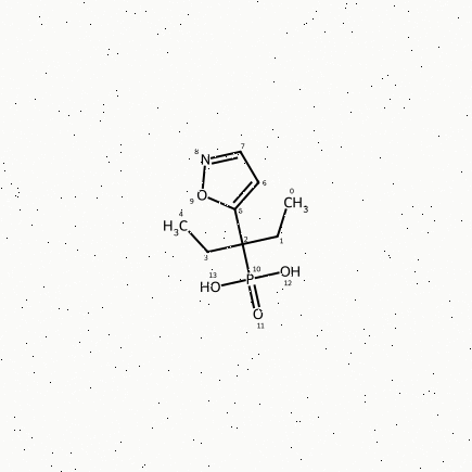 CCC(CC)(c1ccno1)P(=O)(O)O